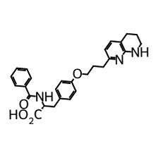 O=C(N[C@@H](Cc1ccc(OCCCc2ccc3c(n2)NCCC3)cc1)C(=O)O)c1ccccc1